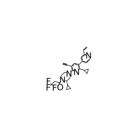 C#Cc1cc(-c2ccnc(C=C)c2)c(C2CC2)nc1N1CCN(C(=O)CC(F)(F)F)[C@H](C2CC2)C1